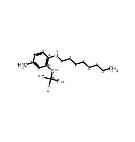 [CH2]c1ccc(OCCCCCCCC)c(OC(F)(F)F)c1